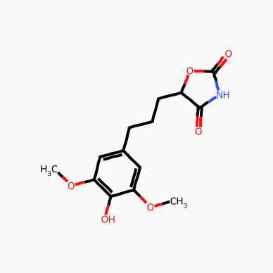 COc1cc(CCCC2OC(=O)NC2=O)cc(OC)c1O